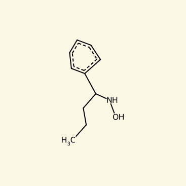 CCCC(NO)c1ccccc1